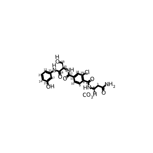 NC(=O)C[C@H](NC(=O)c1ccc(C(=O)N[C@H](CO)C(=O)Nc2cccc(O)c2)cc1Cl)C(=O)O